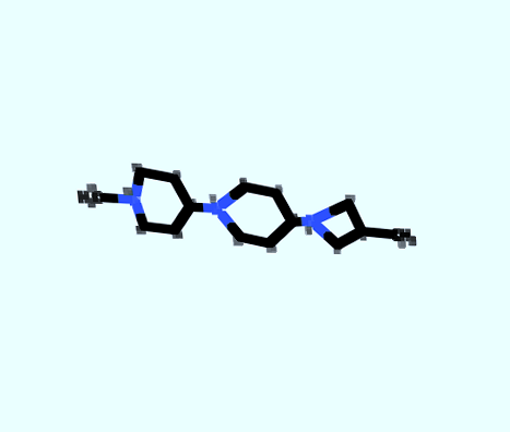 CC1CN(C2CCN(C3CCN(C)CC3)CC2)C1